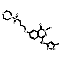 Cc1cc(Nc2nn(C(C)C)c(=O)c3cc(OCCCS(=O)(=O)N4CCOCC4)ccc23)n[nH]1